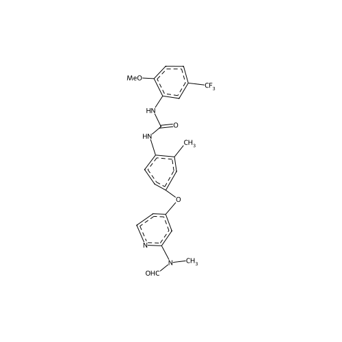 COc1ccc(C(F)(F)F)cc1NC(=O)Nc1ccc(Oc2ccnc(N(C)C=O)c2)cc1C